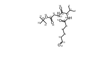 CC(C)C(NC(=O)CCCCC=O)C(=O)NCC(=O)OC(C)(C)C